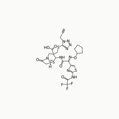 C#CCn1nnnc1SCC1(C(=O)O)CN2C(=O)C[C@H]2SC1NC(=O)C(=NOC1CCCC1)c1csc(NC(=O)C(F)(F)F)n1